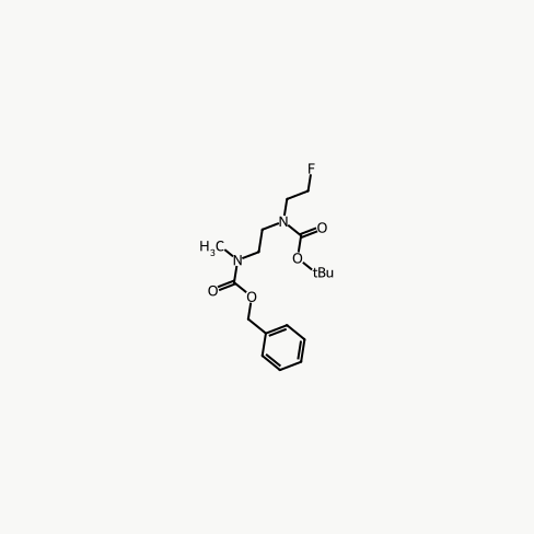 CN(CCN(CCF)C(=O)OC(C)(C)C)C(=O)OCc1ccccc1